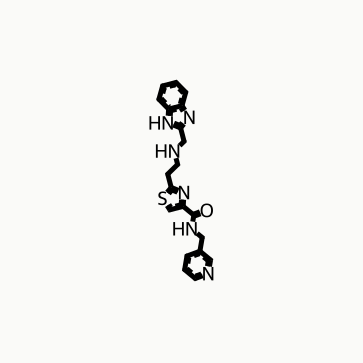 O=C(NCc1cccnc1)c1csc(CCNCc2nc3ccccc3[nH]2)n1